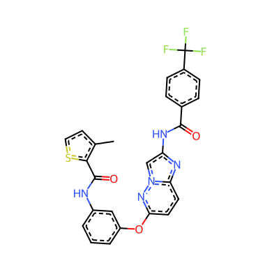 Cc1ccsc1C(=O)Nc1cccc(Oc2ccc3nc(NC(=O)c4ccc(C(F)(F)F)cc4)cn3n2)c1